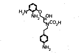 Nc1ccc(CCN(C[C@@H](O)COc2cccc(N)c2N)C(=O)O)cc1